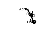 CC(=O)NCCNC(=O)c1cccc(/C=C/c2n[nH]c3ccccc23)c1.Cl